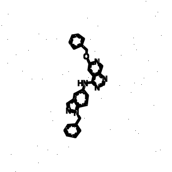 c1ccc(COc2cc3c(Nc4ccc5c(cnn5Cc5ccccc5)c4)ncnc3cn2)cc1